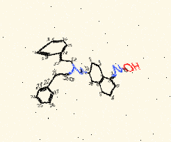 O/N=C1\CCCC2=C1CCC(N(CCc1ccccc1)CCc1ccccc1)C2